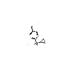 OCc1ccc(C(O)(C2CC2)C(F)(F)F)cc1